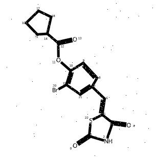 O=C1NC(=O)C(=Cc2ccc(OC(=O)C3CCCC3)c(Br)c2)S1